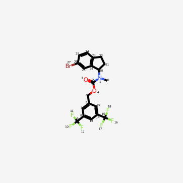 CN(C(=O)OCc1cc(C(F)(F)F)cc(C(F)(F)F)c1)C1CCc2ccc(Br)cc21